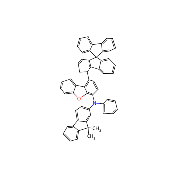 CC1(C)c2ccccc2-c2ccc(N(c3ccccc3)c3ccc(C4CC=CC5=C4c4ccccc4C54c5ccccc5-c5ccccc54)c4c3oc3ccccc34)cc21